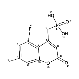 Cc1cc(F)c2c(CP(=O)(O)O)cc(=O)oc2c1